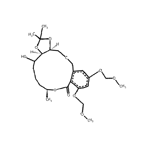 COCOc1cc2c(c(OCOC)c1)C(=O)O[C@@H](C)CCCC(O)[C@H]1OC(C)(C)O[C@H]1CCC2